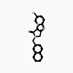 O=C1c2c(nc3ccc(Cl)cn23)CN1Cc1ccc2ccccc2c1